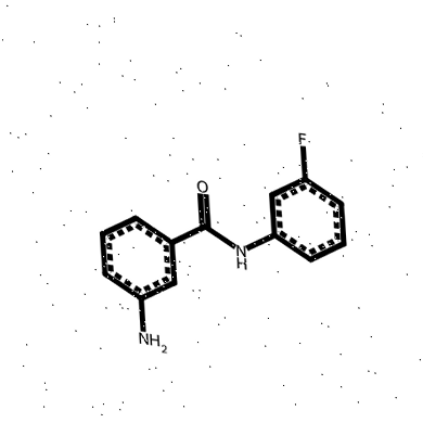 Nc1cccc(C(=O)Nc2cccc(F)c2)c1